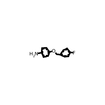 Nc1ccc(OCc2ccc(F)cc2)cc1